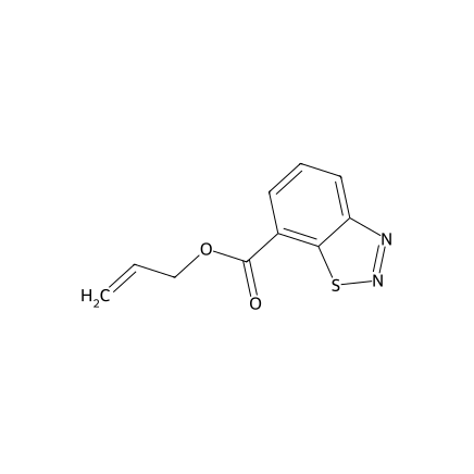 C=CCOC(=O)c1cccc2nnsc12